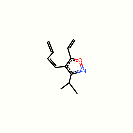 C=C/C=C\c1c(C(C)C)noc1C=C